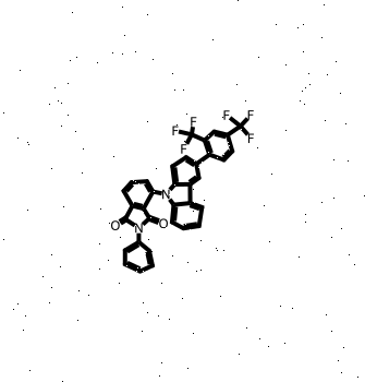 O=C1c2cccc(-n3c4ccccc4c4cc(-c5ccc(C(F)(F)F)cc5C(F)(F)F)ccc43)c2C(=O)N1c1ccccc1